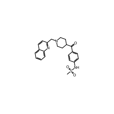 CS(=O)(=O)Nc1ccc(C(=O)C2CCN(Cc3ccc4ccccc4n3)CC2)cc1